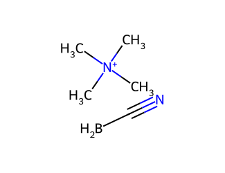 BC#N.C[N+](C)(C)C